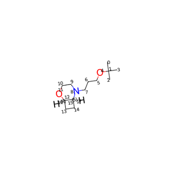 CC(C)(C)OCCCN1CCO[C@@H]2CC[C@@H]21